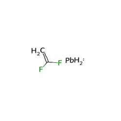 C=C(F)F.[PbH2]